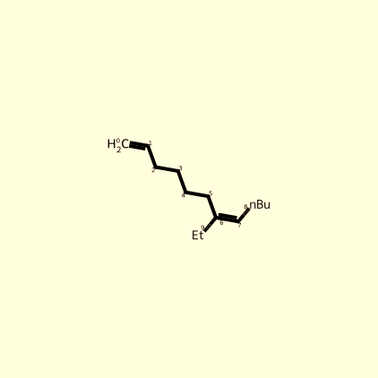 C=CCCCCC(=CCCCC)CC